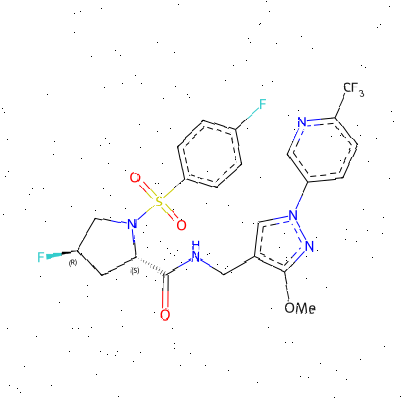 COc1nn(-c2ccc(C(F)(F)F)nc2)cc1CNC(=O)[C@@H]1C[C@@H](F)CN1S(=O)(=O)c1ccc(F)cc1